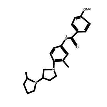 COc1ccc(C(=O)Nc2ccc(N3CCC(N4CCCC4C)C3)c(C)c2)cc1